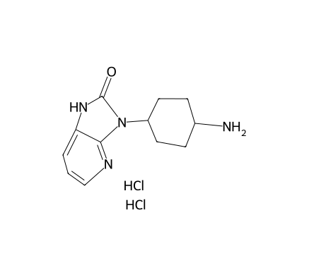 Cl.Cl.NC1CCC(n2c(=O)[nH]c3cccnc32)CC1